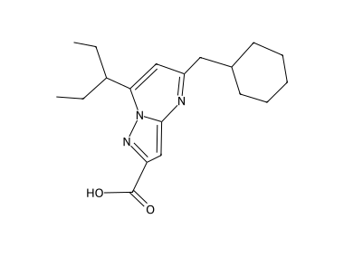 CCC(CC)c1cc(CC2CCCCC2)nc2cc(C(=O)O)nn12